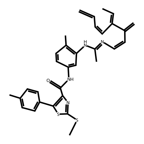 C=C/C=C\C(=C/C)C(=C)/C=C\N=C(/C)Nc1cc(NC(=O)c2nc(SC)sc2-c2ccc(C)cc2)ccc1C